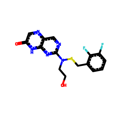 O=c1cnc2cnc(N(CCO)SCc3cccc(F)c3F)nc2[nH]1